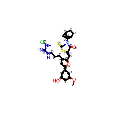 COc1cc(O)cc(-c2cc(CCCNC(=N)NCl)c(/C=C3\SC(=S)N(C4CC5CCC4C5)C3=O)o2)c1